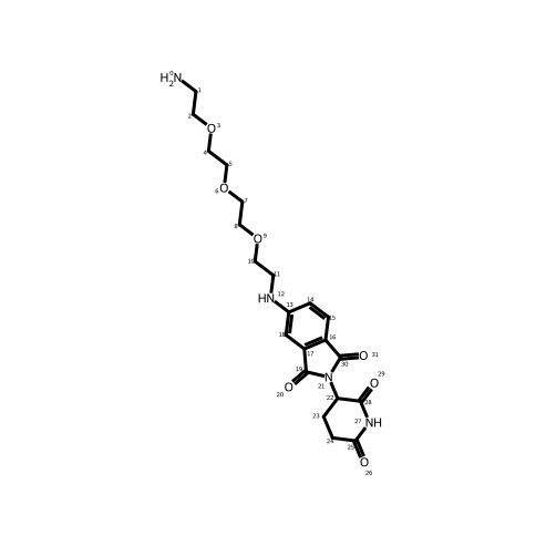 NCCOCCOCCOCCNc1ccc2c(c1)C(=O)N(C1CCC(=O)NC1=O)C2=O